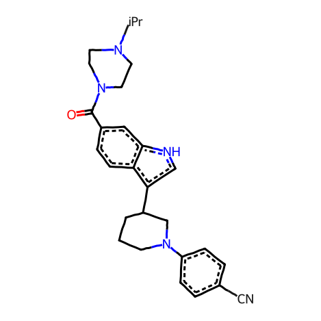 CC(C)N1CCN(C(=O)c2ccc3c(C4CCCN(c5ccc(C#N)cc5)C4)c[nH]c3c2)CC1